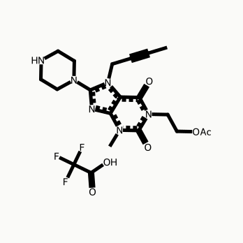 CC#CCn1c(N2CCNCC2)nc2c1c(=O)n(CCOC(C)=O)c(=O)n2C.O=C(O)C(F)(F)F